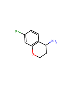 NC1CCOc2cc(Br)ccc21